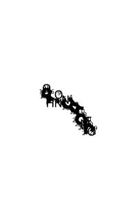 Cc1cc2cnc(NC(=O)[C@H]3CC34CCOC4)cc2cc1C1CCN([C@]2(C)COC[C@@H]2F)CC1